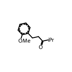 COc1ccccc1CCC(=O)C(C)C